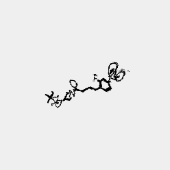 CC(C)(C)[Si](C)(C)OC1CN(C(=O)CCCc2ccc([N+](=O)[O-])cc2F)C1